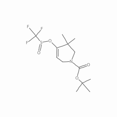 CC(C)(C)OC(=O)N1CC=C(OS(=O)C(F)(F)F)C(C)(C)C1